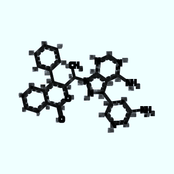 CC(c1oc(=O)c2ccccc2c1-c1ccccc1)n1nc(-c2cncc(N)c2)c2c(N)ncnc21